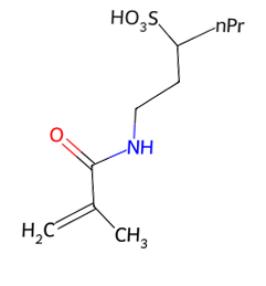 C=C(C)C(=O)NCCC(CCC)S(=O)(=O)O